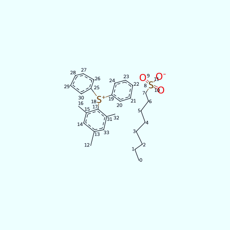 CCCCCCCCS(=O)(=O)[O-].Cc1cc(C)c([S+](c2ccccc2)c2ccccc2)c(C)c1